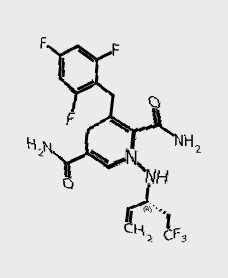 C=C[C@@H](CC(F)(F)F)NN1C=C(C(N)=O)CC(Cc2c(F)cc(F)cc2F)=C1C(N)=O